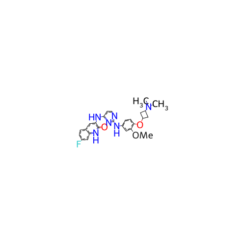 COc1cc(Nc2nccc(Nc3cc4ccc(F)cc4[nH]c3=O)n2)ccc1OC1CC(N(C)C)C1